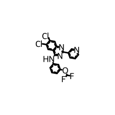 FC(F)Oc1cccc(Nc2nc(-c3cccnc3)nc3cc(Cl)c(Cl)cc23)c1